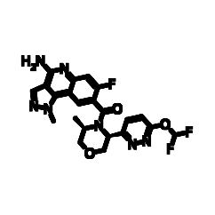 C[C@@H]1COC[C@H](c2ccc(OC(F)F)nn2)N1C(=O)c1cc2c(cc1F)nc(N)c1cnn(C)c12